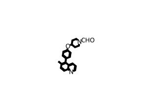 Cc1ccc2ncccc2c1-c1ccc(OC2CCN(C=O)CC2)cc1